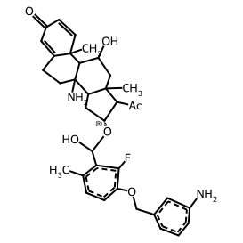 CC(=O)C1[C@H](OC(O)c2c(C)ccc(OCc3cccc(N)c3)c2F)CC2C1(C)CC(O)C1C3(C)C=CC(=O)C=C3CCC12N